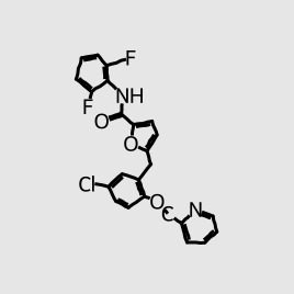 O=C(Nc1c(F)cccc1F)c1ccc(Cc2cc(Cl)ccc2OCc2ccccn2)o1